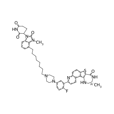 C[C@@H]1CNc2c(sc3ccc4nc(-c5cc(N6CCN(CCCCCCCCc7cccc8c7n(C)c(=O)n8C7CCC(=O)NC7=O)CC6)ccc5F)ccc4c23)C(=O)N1